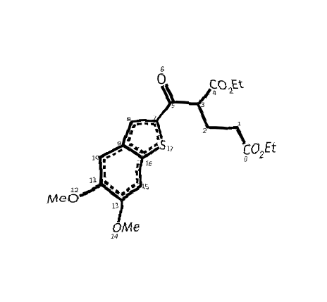 CCOC(=O)CCC(C(=O)OCC)C(=O)c1cc2cc(OC)c(OC)cc2s1